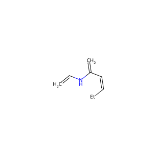 C=CNC(=C)/C=C\CC